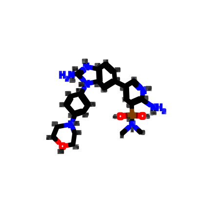 CN(C)S(=O)(=O)c1cc(-c2ccc3nc(N)n(-c4ccc(N5CCOCC5)cc4)c3c2)cnc1N